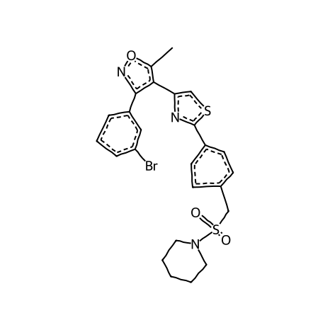 Cc1onc(-c2cccc(Br)c2)c1-c1csc(-c2ccc(CS(=O)(=O)N3CCCCC3)cc2)n1